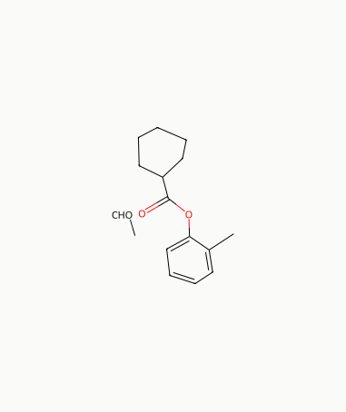 CC=O.Cc1ccccc1OC(=O)C1CCCCC1